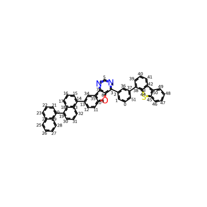 c1cc(-c2ncnc3c2oc2ccc(-c4cccc5c(-c6cccc7ccccc67)cccc45)cc23)cc(-c2cccc3c2sc2ccccc23)c1